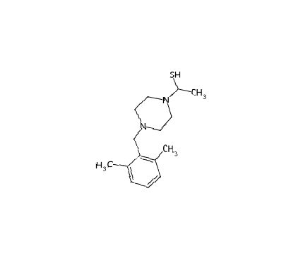 Cc1cccc(C)c1CN1CCN(C(C)S)CC1